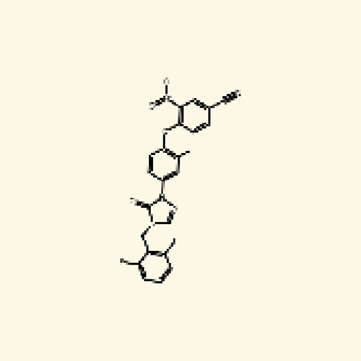 N#Cc1ccc(Oc2ccc(-n3ncn(Cc4c(F)cccc4F)c3=O)cc2F)c([N+](=O)[O-])c1